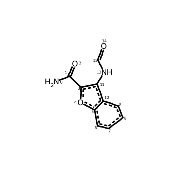 NC(=O)c1oc2ccccc2c1NC=O